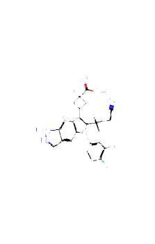 CC1(C(=O)O)CC(c2c(C(C)(C)CC#N)n(-c3ccc(F)c(F)c3)c3cc4cn[nH]c4c(F)c23)C1